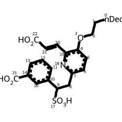 CCCCCCCCCCCCOc1ccc(CC(c2cccc(C(=O)O)c2)S(=O)(=O)O)nc1/C=C/C(=O)O